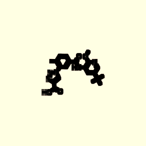 COc1ncc(C(C)(C)C)cc1NC(=O)c1ccc(C)c(-n2cc(C(=O)O)nn2)c1